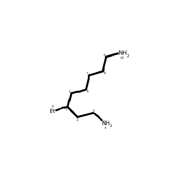 CCC(CCN)CCCCCN